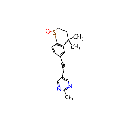 CC1(C)CC[S+]([O-])c2ccc(C#Cc3cnc(C#N)nc3)cc21